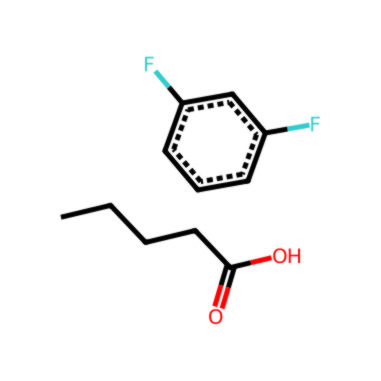 CCCCC(=O)O.Fc1cccc(F)c1